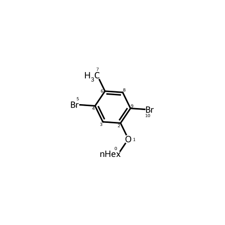 CCCCCCOc1cc(Br)c(C)cc1Br